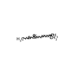 CCCCCOCCC[S+]([O-])CCCCCCCCCCCCC(C)C